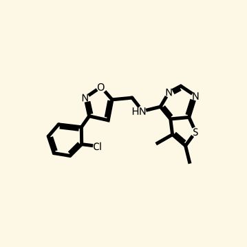 Cc1sc2ncnc(NCc3cc(-c4ccccc4Cl)no3)c2c1C